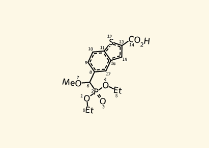 CCOP(=O)(OCC)C(OC)c1ccc2sc(C(=O)O)cc2c1